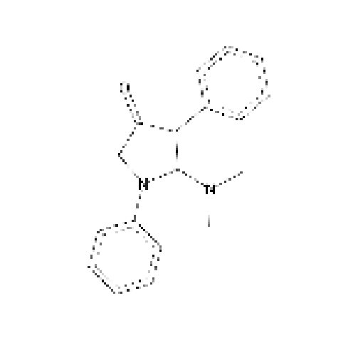 CN(C)C1C(c2ccccc2)C(=O)CN1c1ccccc1